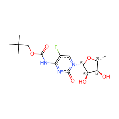 C[C@H]1O[C@@H](n2cc(F)c(NC(=O)OCC(C)(C)C)nc2=O)[C@H](O)[C@@H]1O